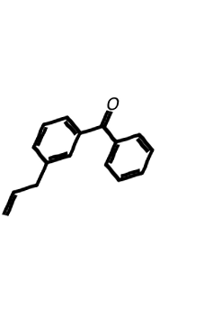 C=CCc1cccc(C(=O)c2ccccc2)c1